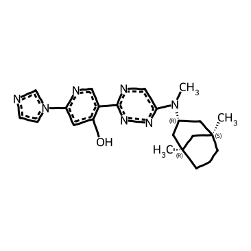 CN(c1cnc(-c2cnc(-n3ccnc3)cc2O)nn1)[C@H]1C[C@]2(C)CCC[C@](C)(C1)C2